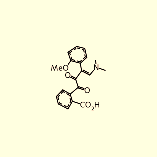 COc1ccccc1C(=CN(C)C)C(=O)C(=O)c1ccccc1C(=O)O